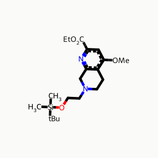 CCOC(=O)c1cc(OC)c2c(n1)CN(CCO[Si](C)(C)C(C)(C)C)CC2